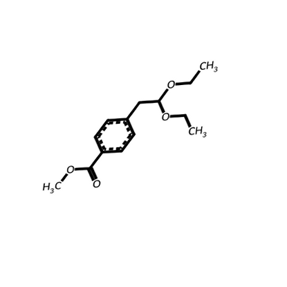 CCOC(Cc1ccc(C(=O)OC)cc1)OCC